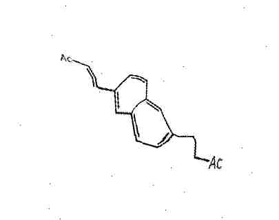 CC(=O)/C=C/c1ccc2cc(CCC(C)=O)ccc2c1